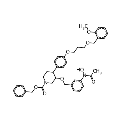 COc1ccccc1COCCCOc1ccc(C2CCN(C(=O)OCc3ccccc3)CC2OCc2cccc(N(O)C(C)=O)c2)cc1